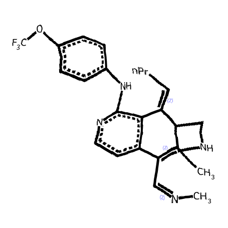 C/C=C(\C=N/C)c1ccnc(Nc2ccc(OC(F)(F)F)cc2)c1/C(=C\CCC)C1CNC1